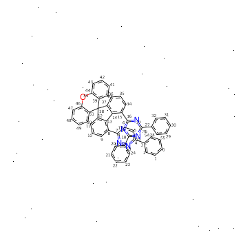 c1ccc(-c2ccc(-c3cccc4c3-c3c(-c5nc(-c6ccccc6)nc(-c6ccccc6)n5)cccc3C43c4ccccc4Oc4ccccc43)nn2)cc1